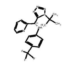 CC(C)(C)n1nnnc1[C@H](Nc1ccc(C(F)(F)F)cc1)c1ccccn1